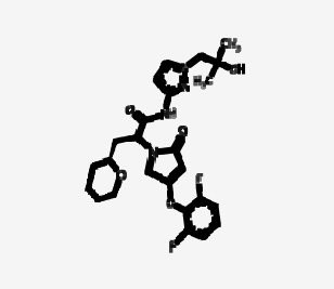 CC(C)(O)Cn1ccc(NC(=O)C(C[C@@H]2CCCCO2)N2CC(Oc3c(F)cccc3F)=CC2=O)n1